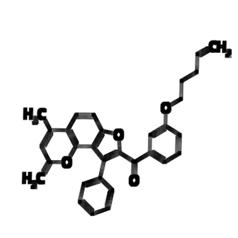 C=CCCCOc1cccc(C(=O)c2oc3ccc4c(c3c2-c2ccccc2)OC(=C)C=C4C)c1